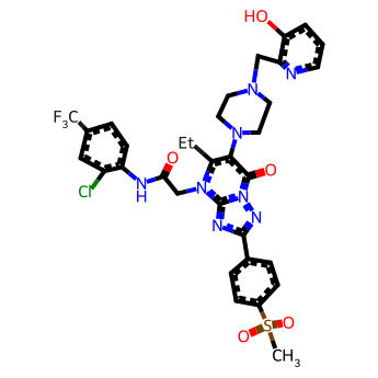 CCc1c(N2CCN(Cc3ncccc3O)CC2)c(=O)n2nc(-c3ccc(S(C)(=O)=O)cc3)nc2n1CC(=O)Nc1ccc(C(F)(F)F)cc1Cl